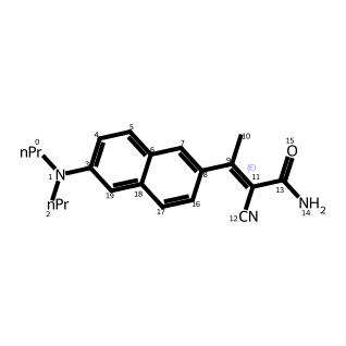 CCCN(CCC)c1ccc2cc(/C(C)=C(\C#N)C(N)=O)ccc2c1